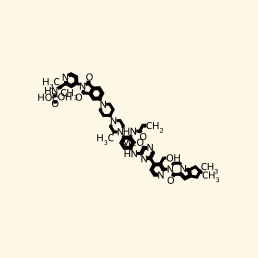 C=CC(=O)Nc1cc(Nc2nc(-c3ccnc(N4CCn5c(cc6c5CC(C)(C)C6)C4=O)c3CO)cnc2OC)ccc1N1CCN(C2CCN(c3ccc4c(c3)C(=O)N(c3ccnc(C(C)(C)NP(=O)(O)O)c3)C4=O)CC2)C[C@@H]1C